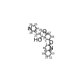 O[C@H]1c2cc(Oc3ccc4ccccc4n3)ccc2OC[C@@H]1Cc1cccnc1